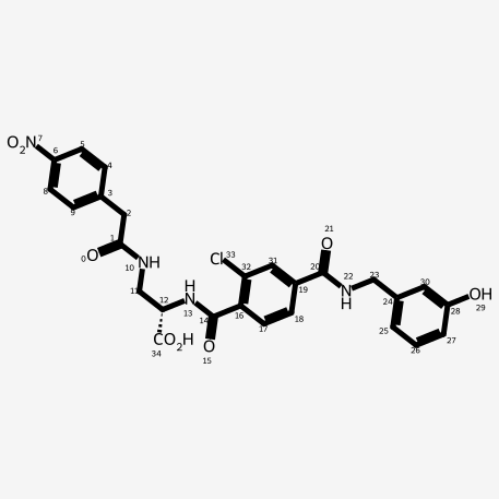 O=C(Cc1ccc([N+](=O)[O-])cc1)NC[C@H](NC(=O)c1ccc(C(=O)NCc2cccc(O)c2)cc1Cl)C(=O)O